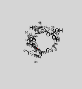 C=CC1=C[C@@H]2[C@@H]3O[C@@]4(C[C@@H](C)C[C@H]3O4)C[C@@H]3O[C@]4(CC[C@@]5(O[C@@H](CC[C@@]5(C)O)CC(=C)CCCC5=NC[C@H](C)[C@@H](C)C[C@@]52CC1)O4)C[C@H](C)[C@@H]3O